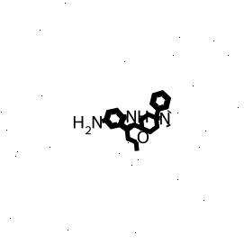 CC1Cc2c([nH]c3ccc(N)cc23)C2(CCC(c3ccccc3)(N(C)C)CC2)O1